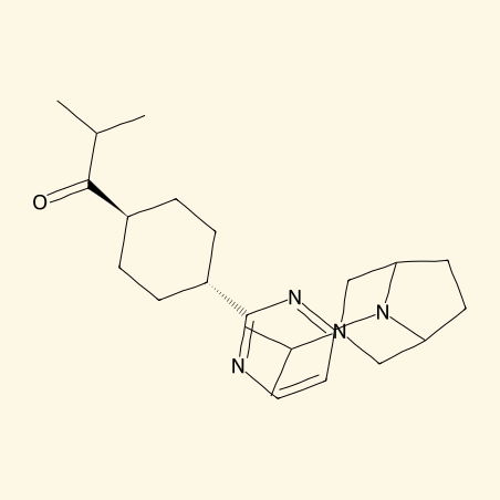 CC(C)C(=O)[C@H]1CC[C@H](c2nccc(N3C4CCC3CN(C(C)C)C4)n2)CC1